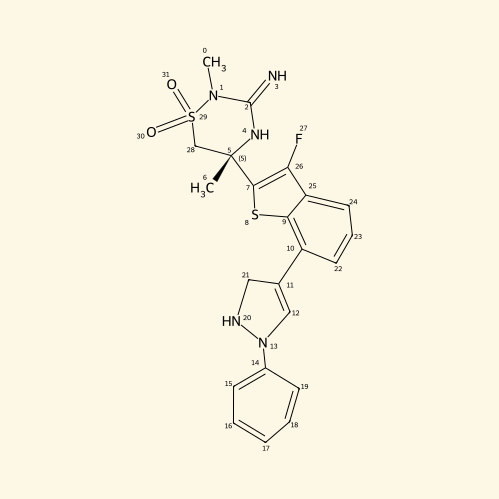 CN1C(=N)N[C@](C)(c2sc3c(C4=CN(c5ccccc5)NC4)cccc3c2F)CS1(=O)=O